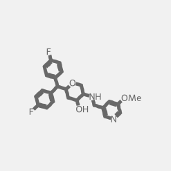 COc1cncc(CNC2COC(C(c3ccc(F)cc3)c3ccc(F)cc3)CC2O)c1